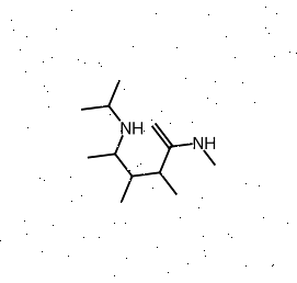 C=C(NC)C(C)C(C)C(C)NC(C)C